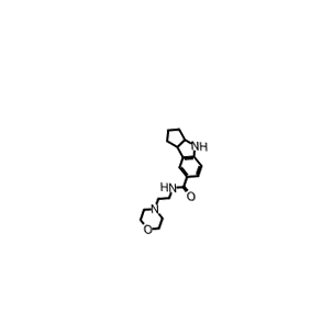 O=C(NCCN1CCOCC1)c1ccc2c(c1)C1CCCC1N2